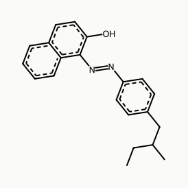 CCC(C)Cc1ccc(N=Nc2c(O)ccc3ccccc23)cc1